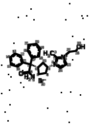 Cc1n([C@@H]2CC[C@H](C(C(N)=O)(c3ccccc3)c3ccccc3)C2)cc[n+]1CCO.[Br-]